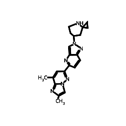 Cc1cn2nc(-c3ccc4nn(C5CCNC6(CC6)C5)cc4n3)cc(C)c2n1